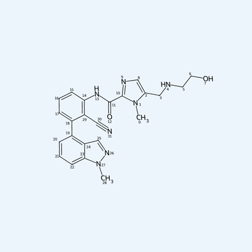 Cn1c(CNCCO)cnc1C(=O)Nc1cccc(-c2cccc3c2cnn3C)c1C#N